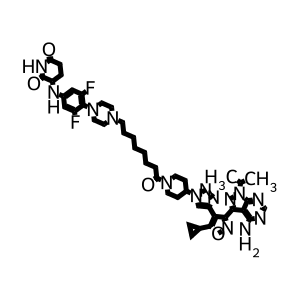 CC(C)n1nc(-c2noc(C3CC3)c2-c2cn(C3CCN(C(=O)CCCCCCCN4CCN(c5c(F)cc(NC6CCC(=O)NC6=O)cc5F)CC4)CC3)nn2)c2c(N)ncnc21